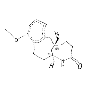 COc1cccc2c1CC[C@@H]1NC(=O)CC[C@@H]21